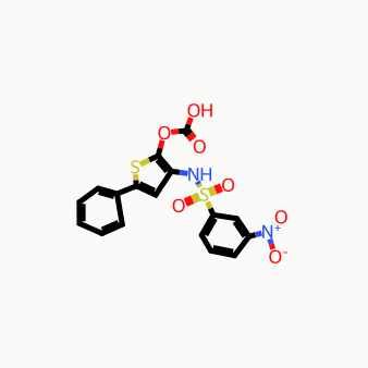 O=C(O)Oc1sc(-c2ccccc2)cc1NS(=O)(=O)c1cccc([N+](=O)[O-])c1